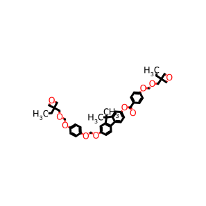 CCC1(COCOc2ccc(OCOc3ccc4c(c3)C(C)(C)c3cc(OC(=O)c5ccc(OCOCC6(CC)COC6)cc5)ccc3-4)cc2)COC1